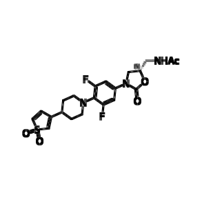 CC(=O)NC[C@H]1CN(c2cc(F)c(N3CCC(C4=CS(=O)(=O)C=C4)CC3)c(F)c2)C(=O)O1